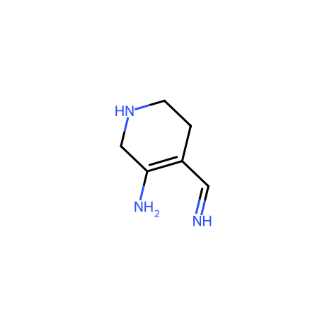 N=CC1=C(N)CNCC1